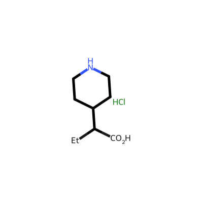 CCC(C(=O)O)C1CCNCC1.Cl